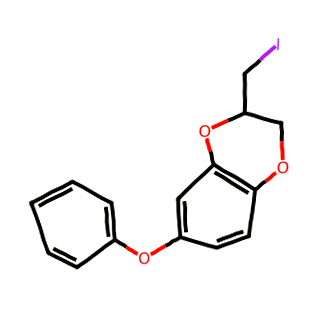 ICC1COc2ccc(Oc3ccccc3)cc2O1